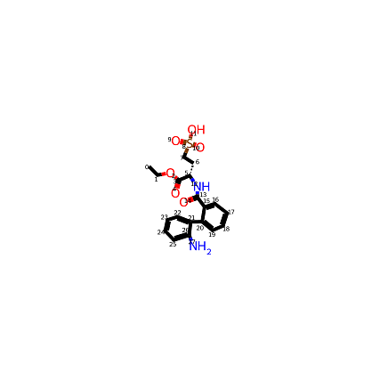 CCOC(=O)[C@H](CCS(=O)(=O)O)NC(=O)c1ccccc1-c1ccccc1N